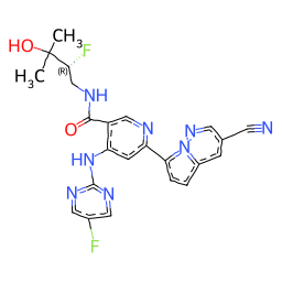 CC(C)(O)[C@H](F)CNC(=O)c1cnc(-c2ccc3cc(C#N)cnn23)cc1Nc1ncc(F)cn1